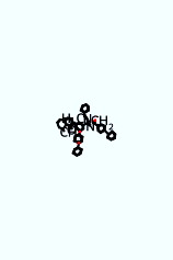 C=C(/N=C(\N=C(/C)c1ccccc1)c1cc(-c2ccc(-c3ccccc3)cc2)c2oc3c4c(ccc3c2c1)C=CCC4C)c1ccc(-c2ccccc2)cc1